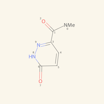 CNC(=O)c1ccc(=O)[nH]n1